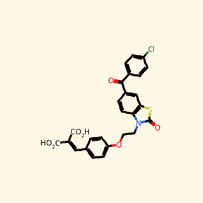 O=C(O)C(=Cc1ccc(OCCn2c(=O)sc3cc(C(=O)c4ccc(Cl)cc4)ccc32)cc1)C(=O)O